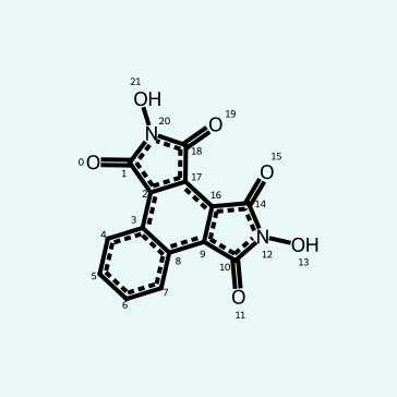 O=c1c2c3ccccc3c3c(=O)n(O)c(=O)c3c2c(=O)n1O